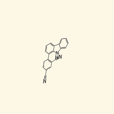 N#Cc1ccc(-c2cccc3c2[nH]c2ccccc23)c(C#N)c1